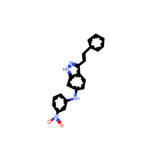 O=[N+]([O-])c1cccc(Nc2ccc3c(/C=C/c4ccccc4)n[nH]c3c2)c1